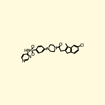 CC1=C(CC(=O)N2CCN(c3ccc(S(=O)(=O)Nc4ccncn4)cc3)CC2)Cc2ccc(Cl)cc21